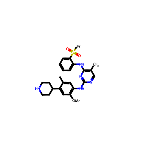 COc1cc(C2CCNCC2)c(C)cc1Nc1ncc(C(F)(F)F)c(Nc2ccccc2S(=O)(=O)C(C)C)n1